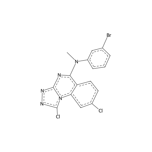 CN(c1cccc(Br)c1)c1nc2nnc(Cl)n2c2cc(Cl)ccc12